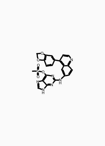 CS(=O)(=O)Oc1nc(Nc2ccc3nccc(-c4ccc5c(c4)OCO5)c3c2)nc2[nH]cnc12